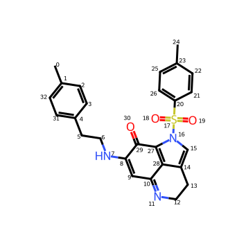 Cc1ccc(CCNC2=CC3=NCCc4cn(S(=O)(=O)c5ccc(C)cc5)c(c43)C2=O)cc1